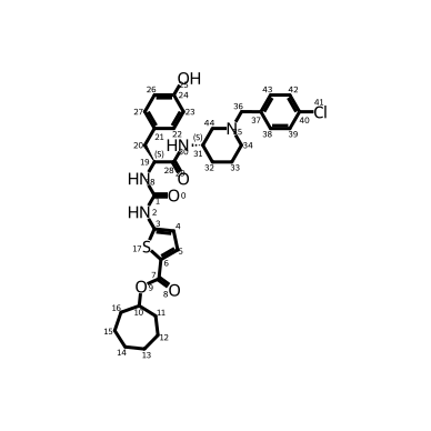 O=C(Nc1ccc(C(=O)OC2CCCCCC2)s1)N[C@@H](Cc1ccc(O)cc1)C(=O)N[C@H]1CCCN(Cc2ccc(Cl)cc2)C1